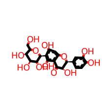 O=C1c2c(cc(O)c([C@@H]3OC(CO)[C@@H](O)[C@H](O)C3O)c2O)O[C@@H](c2ccc(O)c(O)c2)[C@@H]1O